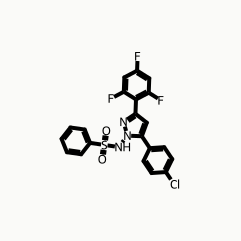 O=S(=O)(Nn1nc(-c2c(F)cc(F)cc2F)cc1-c1ccc(Cl)cc1)c1ccccc1